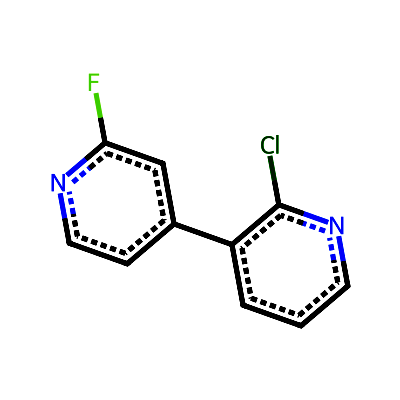 Fc1cc(-c2cccnc2Cl)ccn1